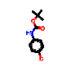 CC(C)(C)OC(=O)Nc1ccc([O])cc1